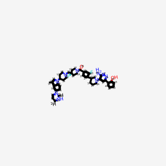 [2H]C1C=CN(c2ccc3c(c2)c(C)cn3C2CCN(CC3(F)CCN(C(=O)c4ccc(C5CCCN(c6cc(-c7ccccc7O)nnc6N)C5)c(F)c4)CC3)CC2)[C@H]([2H])N1